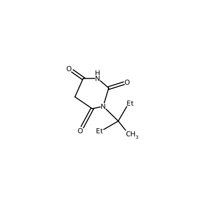 CCC(C)(CC)N1C(=O)CC(=O)NC1=O